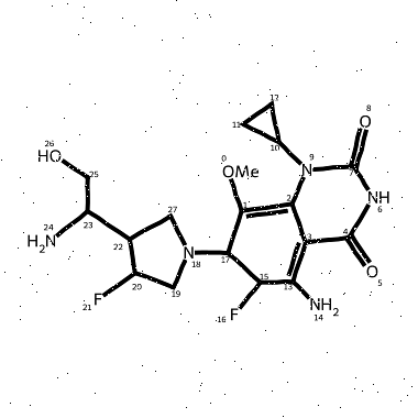 COC1=c2c(c(=O)[nH]c(=O)n2C2CC2)=C(N)C(F)C1N1CC(F)C(C(N)CO)C1